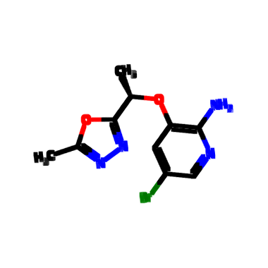 Cc1nnc([C@@H](C)Oc2cc(Br)cnc2N)o1